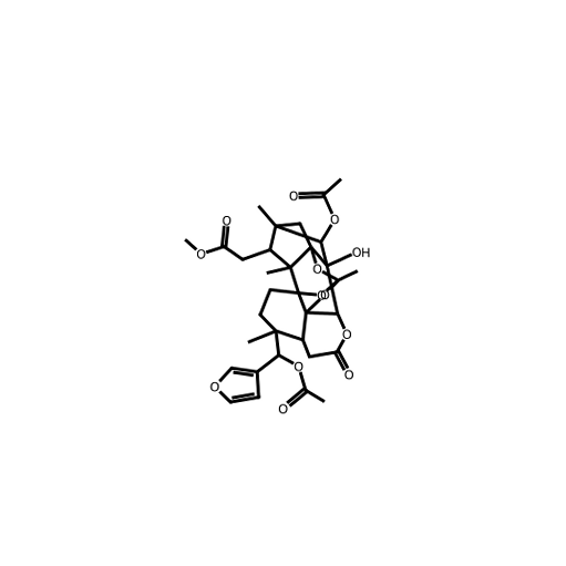 COC(=O)CC1C2(C)CC34OC5(C)OC67C(CC(=O)OC6C3(O)C2OC(C)=O)C(C)(C(OC(C)=O)c2ccoc2)CCC7(O5)C14C